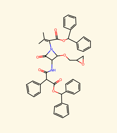 CC(C)=C(C(=O)OC(c1ccccc1)c1ccccc1)N1C(=O)C(NC(=O)C(C(=O)OC(c2ccccc2)c2ccccc2)c2ccccc2)C1OCC1CO1